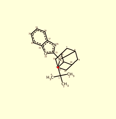 CC(C)(C)CC1C2CC3CC1CC(C2)N3c1nc2ccccc2o1